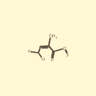 CC(=CC(F)Cl)C(=O)OF